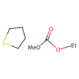 C1CCSC1.CCOC(=O)OC